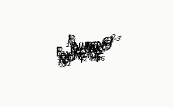 CC(C)(C)OC(=O)Nc1nc2c(-c3c(C(F)(F)F)cc4c(N[C@H]5C[C@H]5F)nc(OC[C@@]56CCCN5C[C@H](F)C6)nc4c3F)ccc(F)c2s1